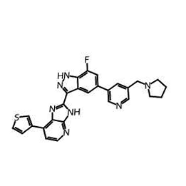 Fc1cc(-c2cncc(CN3CCCC3)c2)cc2c(-c3nc4c(-c5ccsc5)ccnc4[nH]3)n[nH]c12